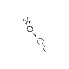 CCC[C@H]1CC[C@H](C#Cc2ccc(OC(F)(F)F)cc2)CC1